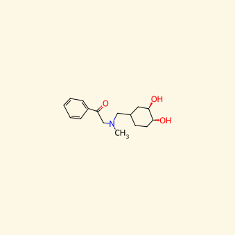 CN(CC(=O)c1ccccc1)CC1CC[C@H](O)[C@H](O)C1